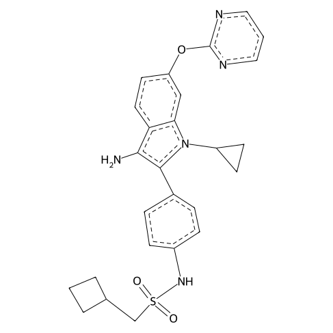 Nc1c(-c2ccc(NS(=O)(=O)CC3CCC3)cc2)n(C2CC2)c2cc(Oc3ncccn3)ccc12